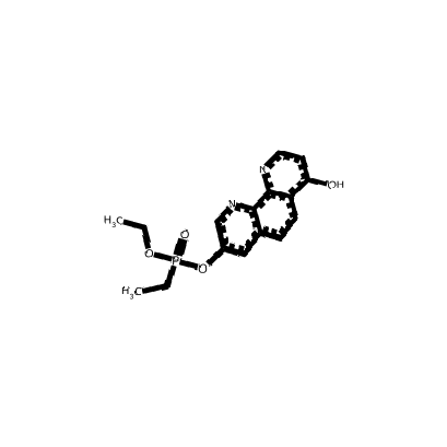 CCOP(=O)(CC)Oc1cnc2c(ccc3c(O)ccnc32)c1